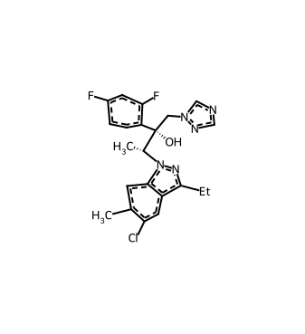 CCc1nn([C@H](C)[C@](O)(Cn2cncn2)c2ccc(F)cc2F)c2cc(C)c(Cl)cc12